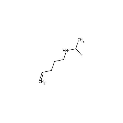 C=CCCCNC(C)I